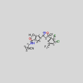 Cc1cc(C2=NOC(c3cc(C(F)(F)F)cc(Cl)c3F)(C(F)(F)F)C2)ccc1C(=O)NCC1(C#N)CC1